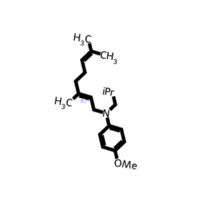 COc1ccc(N(C/C=C(\C)CCC=C(C)C)CC(C)C)cc1